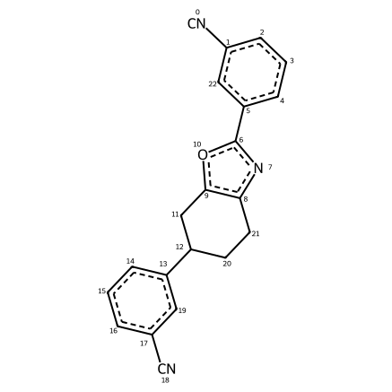 [C-]#[N+]c1cccc(-c2nc3c(o2)CC(c2cccc(C#N)c2)CC3)c1